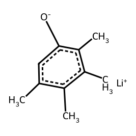 Cc1cc([O-])c(C)c(C)c1C.[Li+]